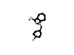 COc1nn(Cc2ccc(F)cc2)c2ccccc12